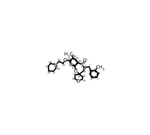 Cc1ccccc1CN1CC2(CCOCC2)Oc2nc(OCCN3CCCCC3)c(C)cc2[S+]1[O-]